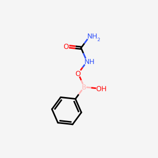 NC(=O)NOB(O)c1ccccc1